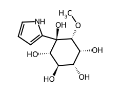 CO[C@@H]1[C@H](O)[C@H](O)[C@@H](O)[C@H](O)[C@]1(O)c1ccc[nH]1